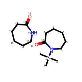 C[Si](C)(C)N1CCCCCC1=O.O=C1CCCCCN1